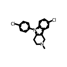 CN1CCc2c(c3cc(Cl)ccc3n2-c2ccc(Cl)cc2)C1